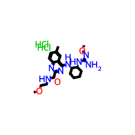 COCCNC(=O)c1nc(N[C@@H]2CCCC[C@@H]2N/C(N)=N\OC)c2cc(C)ccc2n1.Cl.Cl